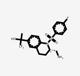 CC(O)(c1ccc2c(c1)CC[C@@H](CN)N2S(=O)(=O)c1ccc(F)cc1)C(F)(F)F